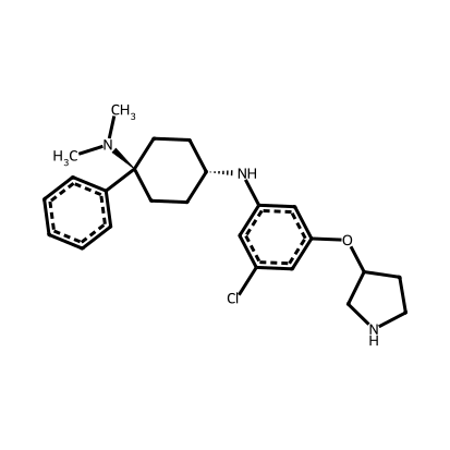 CN(C)[C@]1(c2ccccc2)CC[C@@H](Nc2cc(Cl)cc(OC3CCNC3)c2)CC1